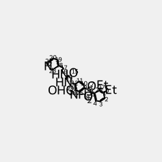 CCc1cccc(S(=O)(=O)c2ccc(NC(=O)NCc3cccnc3)cc2)c1CC.NC=O